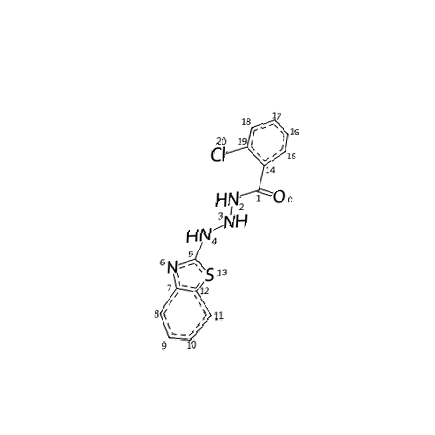 O=C(NNNc1nc2ccccc2s1)c1ccccc1Cl